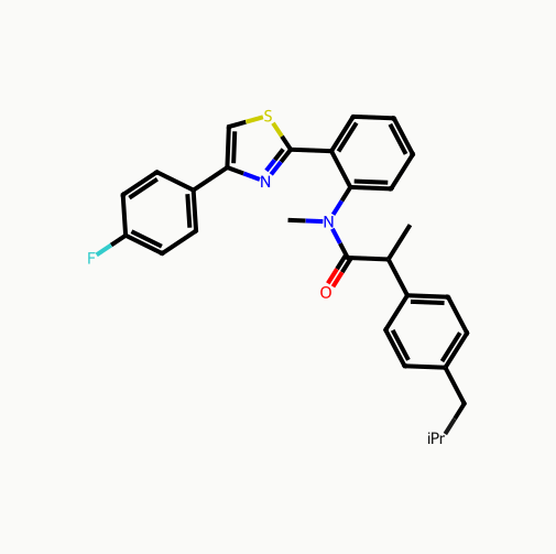 CC(C)Cc1ccc(C(C)C(=O)N(C)c2ccccc2-c2nc(-c3ccc(F)cc3)cs2)cc1